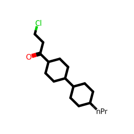 CCCC1CCC(C2CCC(C(=O)CCCl)CC2)CC1